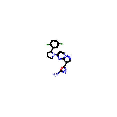 Nc1nnc(-c2cnn3ccc(N4CCCC4c4cc(F)ccc4F)nc23)o1